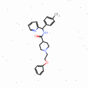 O=C(NC(c1ccc(C(F)(F)F)cc1)c1ccccn1)C1CCN(CCOc2ccccc2)CC1